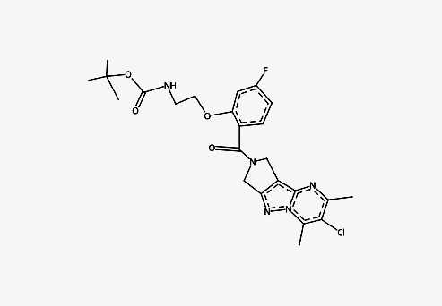 Cc1nc2c3c(nn2c(C)c1Cl)CN(C(=O)c1ccc(F)cc1OCCNC(=O)OC(C)(C)C)C3